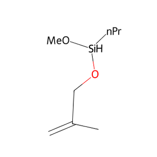 C=C(C)CO[SiH](CCC)OC